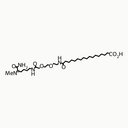 CN[C@@H](CCCCNC(=O)COCCOCCNC(=O)CCCCCCCCCCCCCCCC(=O)O)C(N)=O